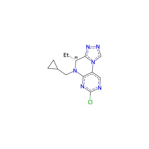 CC[C@@H]1c2nncn2-c2cnc(Cl)nc2N1CC1CC1